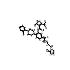 Cc1ccccc1N1CCN(c2ccc(C(=O)NCCCN3CCCC3=O)cc2NC(=O)c2c(C)noc2C(C)C)CC1